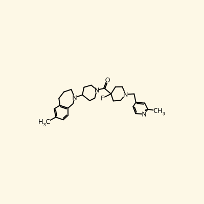 Cc1ccc2c(c1)CCCN(C1CCN(C(=O)C3(F)CCN(Cc4ccnc(C)c4)CC3)CC1)C2